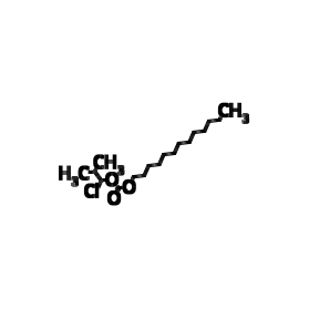 CCCCCCCCCCCCCOC(=O)OC(Cl)C(C)C